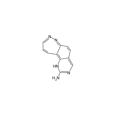 NC1=NC=c2ccc3c(c2N1)C=CC=NN=3